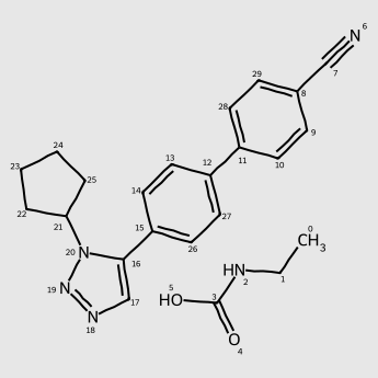 CCNC(=O)O.N#Cc1ccc(-c2ccc(-c3cnnn3C3CCCC3)cc2)cc1